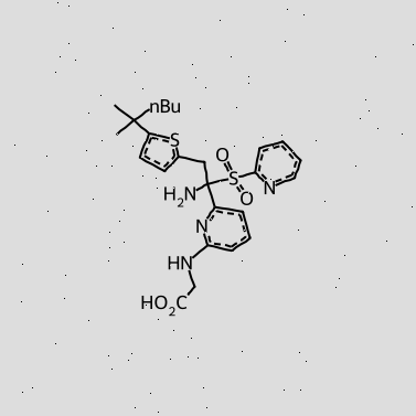 CCCCC(C)(C)c1ccc(CC(N)(c2cccc(NCC(=O)O)n2)S(=O)(=O)c2ccccn2)s1